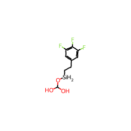 OC(O)O[SiH2]CCc1cc(F)c(F)c(F)c1